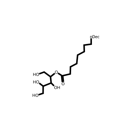 CCCCCCCCCCCCCCCCCC(=O)OC(CO)C(O)C(O)CO